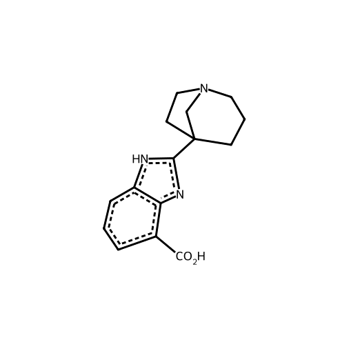 O=C(O)c1cccc2[nH]c(C34CCCN(CC3)C4)nc12